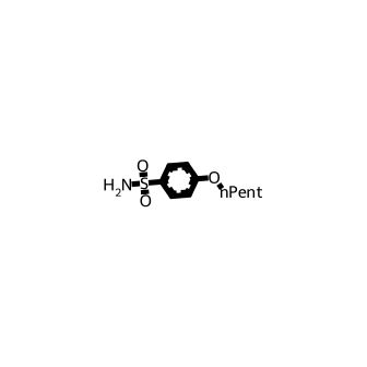 CCCCCOc1ccc(S(N)(=O)=O)cc1